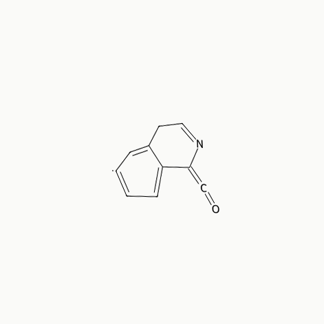 O=C=C1N=CCc2c[c]ccc21